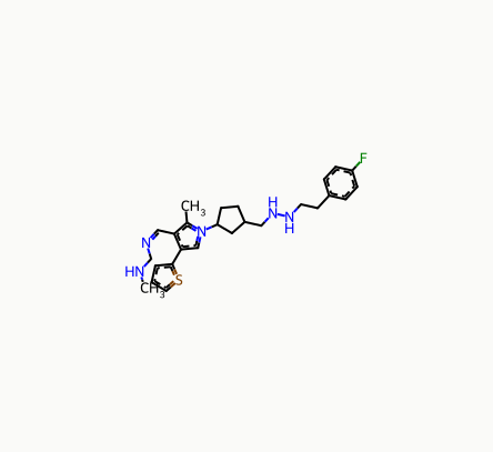 CNC/N=C\c1c(-c2cccs2)cn(C2CCC(CNNCCc3ccc(F)cc3)C2)c1C